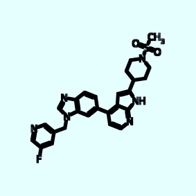 CS(=O)(=O)N1CCC(c2cc3c(-c4ccc5ncn(Cc6cncc(F)c6)c5c4)ccnc3[nH]2)CC1